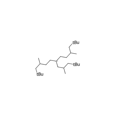 CC(CC[C](CCC(C)CC(C)(C)C)CC(C)CC(C)(C)C)CC(C)(C)C